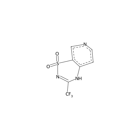 O=S1(=O)N=C(C(F)(F)F)Nc2ccncc21